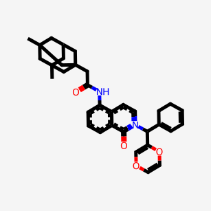 CC12CC3CC(C)(C1)CC(CC(=O)Nc1cccc4c(=O)n(C(C5=CC=CCC5)C5=COC=CO5)ccc14)(C3)C2